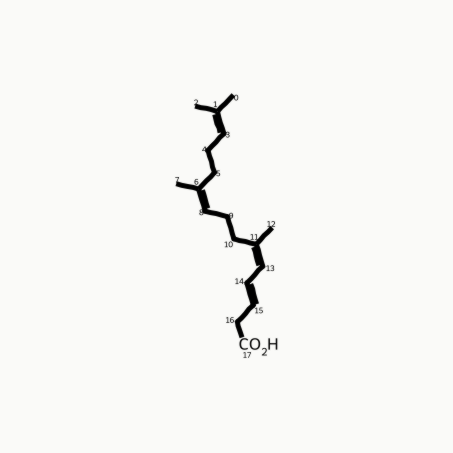 CC(C)=CCCC(C)=CCCC(C)=CC=CCC(=O)O